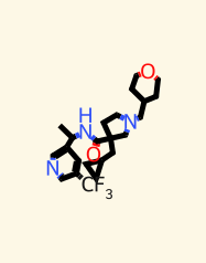 CC(NC(=O)C1(CC2CC2)CCN(CC2CCOCC2)C1)c1cncc(C(F)(F)F)c1